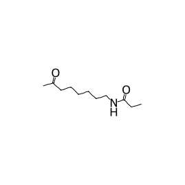 CCC(=O)NCCCCCCC(C)=O